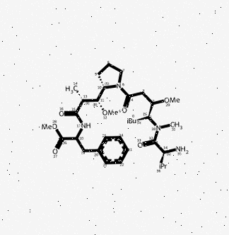 CC[C@H](C)[C@@H](C(CC(=O)N1CCC[C@H]1[C@H](OC)[C@@H](C)C(=O)NC(Cc1ccccc1)C(=O)OC)OC)N(C)C(=O)[C@@H](N)C(C)C